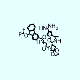 CC(NC(=O)[C@@H]1CC2(CN1C(=O)CNC(=O)c1ccc3c(c1)-c1ccccc1C3OC(F)F)OCCO2)c1cc(C(=N)N)cs1